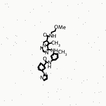 COCCNC(=O)C1CN2N=CN=C(Nc3cc(NC(=O)c4cccc(-n5cccn5)c4)ccc3C)C2=C1C